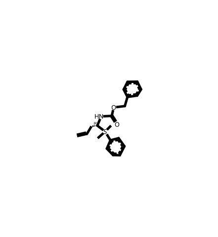 C=CC[C@H](NC(=O)OCc1ccccc1)S(C)(C)c1ccccc1